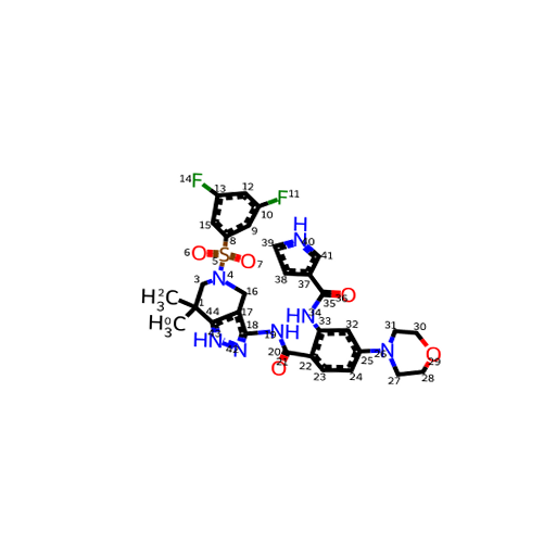 CC1(C)CN(S(=O)(=O)c2cc(F)cc(F)c2)Cc2c(NC(=O)c3ccc(N4CCOCC4)cc3NC(=O)c3cc[nH]c3)n[nH]c21